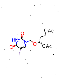 CC(=O)OCCC(OCn1cc(I)c(=O)[nH]c1=O)OC(C)=O